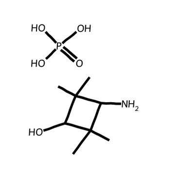 CC1(C)C(N)C(C)(C)C1O.O=P(O)(O)O